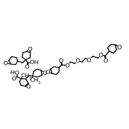 CC1(CC2C3OC3CCC2(C)C(=O)O)CCC2OC2C1.O=C(O)C1(CC2CCC3OC3C2)CCC2OC2C1.O=C(OCCOCCOCCOC(=O)C1CCC2OC2C1)C1CCC2OC2C1